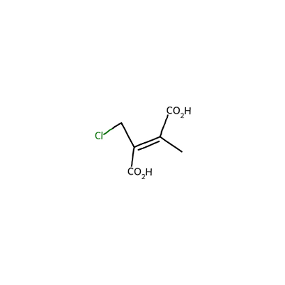 C/C(C(=O)O)=C(/CCl)C(=O)O